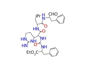 CCOC(=O)C(Cc1ccccc1)NC(=O)NC(C(=O)NC(CC(C)C)C(=O)NC(C=O)Cc1ccccc1)C1CCNC(=N)N1